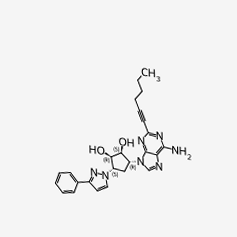 CCCCC#Cc1nc(N)c2ncn([C@@H]3C[C@H](n4ccc(-c5ccccc5)n4)[C@@H](O)[C@H]3O)c2n1